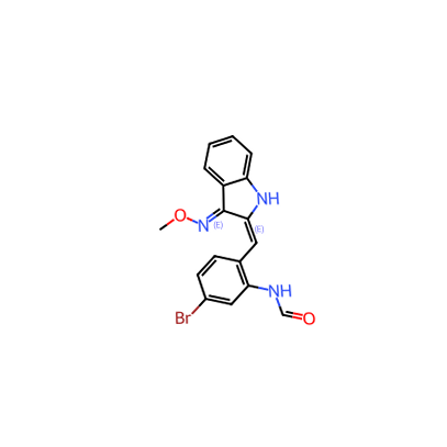 CO/N=C1/C(=C\c2ccc(Br)cc2NC=O)Nc2ccccc21